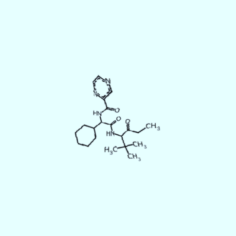 CCC(=O)C(NC(=O)C(NC(=O)c1cnccn1)C1CCCCC1)C(C)(C)C